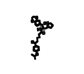 CC(C)Oc1ccc(C(=O)CCCCC(=O)N[C@H](CN2CCCC2)[C@@H](O)c2ccc3c(c2)OCCO3)cc1